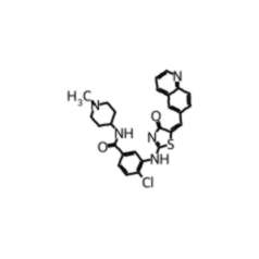 CN1CCC(NC(=O)c2ccc(Cl)c(NC3=NC(=O)C(=Cc4ccc5ncccc5c4)S3)c2)CC1